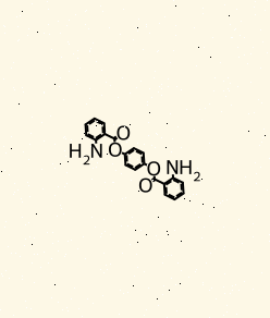 Nc1ccccc1C(=O)Oc1ccc(OC(=O)c2ccccc2N)cc1